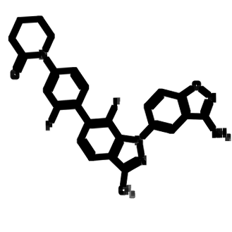 Nc1noc2ccc(-n3nc(C(F)(F)F)c4ccc(-c5ccc(N6CCCCC6=O)cc5F)c(F)c43)cc12